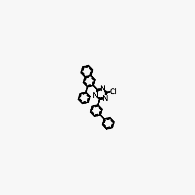 Clc1nc(-c2cccc(-c3ccccc3)c2)nc(-c2cc3ccccc3cc2-c2ccccc2)n1